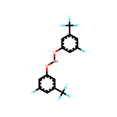 Fc1cc(OBOc2cc(F)cc(C(F)(F)F)c2)cc(C(F)(F)F)c1